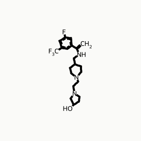 C=C(NCC1CCN(CCN2CCC(O)C2)CC1)c1cc(F)cc(C(F)(F)F)c1